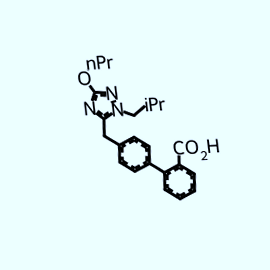 CCCOc1nc(Cc2ccc(-c3ccccc3C(=O)O)cc2)n(CC(C)C)n1